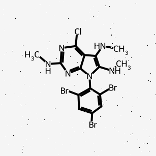 CNc1nc(Cl)c2c(NC)c(NC)n(-c3c(Br)cc(Br)cc3Br)c2n1